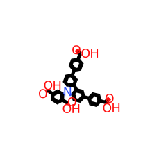 O=C(O)c1ccc(-c2ccc3c(c2)c2cc(-c4ccc(C(=O)O)cc4)ccc2n3-c2cc(C(=O)O)ccc2C(=O)O)cc1